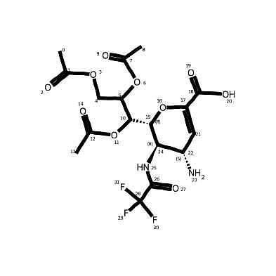 CC(=O)OCC(OC(C)=O)C(OC(C)=O)[C@@H]1OC(C(=O)O)=C[C@H](N)[C@H]1NC(=O)C(F)(F)F